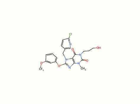 Cn1c(=O)n(CCCO)c(=O)c2c1nc(Oc1cccc(OC(F)(F)F)c1)n2Cc1ccc(Cl)nc1